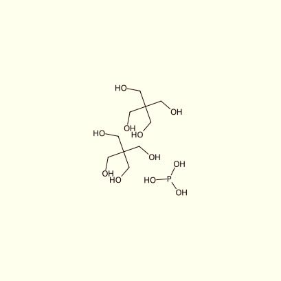 OCC(CO)(CO)CO.OCC(CO)(CO)CO.OP(O)O